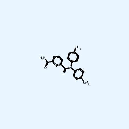 Cc1ccc(N(C(=O)c2cccc(C(N)=O)n2)c2ccc(C)cc2)cc1